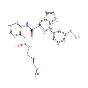 COCCCOC(=O)Cc1ccccc1NC(=O)c1cc2ccoc2c(-c2cccc(CN)c2)n1